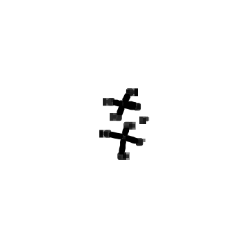 O=P(O)(O)O.[Li+].[O-][Si](O)(O)O